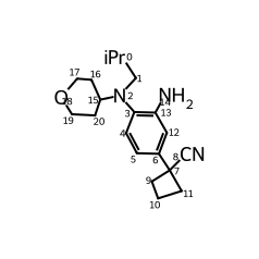 CC(C)CN(c1ccc(C2(C#N)CCC2)cc1N)C1CCOCC1